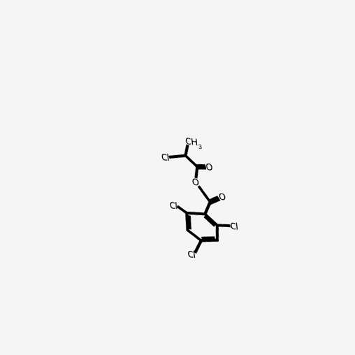 CC(Cl)C(=O)OC(=O)c1c(Cl)cc(Cl)cc1Cl